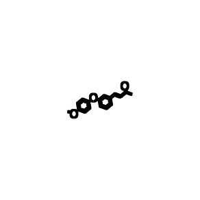 COc1ccc(Oc2cccc(C=CC(C)=O)c2)cc1